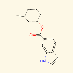 CC1CCCC(OC(=O)c2ccc3cc[nH]c3c2)C1